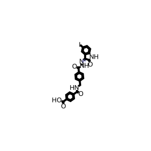 O=C1Nc2ccc(I)cc2/C1=N/NC(=O)c1ccc(CNC(=O)c2ccc(C(=O)O)cc2)cc1